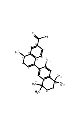 Cc1cc2c(cc1C1=CCC(N)c3cc(C(=O)O)ccc31)C(C)(C)CCC2(C)C